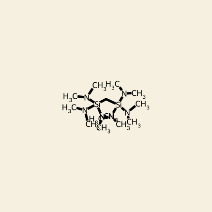 CN(C)[Si](C[Si](N(C)C)(N(C)C)N(C)C)(N(C)C)N(C)C